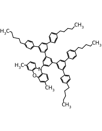 CCCCCc1ccc(-c2cc(-c3ccc(CCCCC)cc3)cc(-c3cc(-c4cc(-c5ccc(CCCCC)cc5)cc(-c5ccc(CCCCC)cc5)c4)cc(N4c5ccc(C)cc5Oc5cc(C)ccc54)c3)c2)cc1